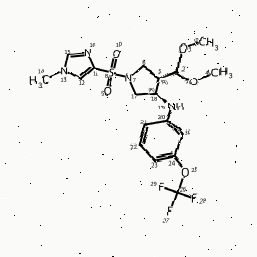 COC(OC)[C@@H]1CN(S(=O)(=O)c2cn(C)cn2)C[C@@H]1Nc1cccc(OC(F)(F)F)c1